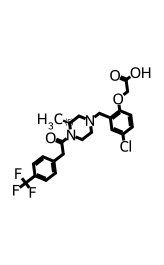 C[C@H]1CN(Cc2cc(Cl)ccc2OCC(=O)O)CCN1C(=O)Cc1ccc(C(F)(F)F)cc1